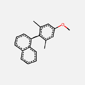 COc1cc(C)c(-c2cccc3ccccc23)c(C)c1